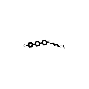 CC=CC=CCOC1CCC(C2CCC(c3ccc(Cl)cc3)CC2)CC1